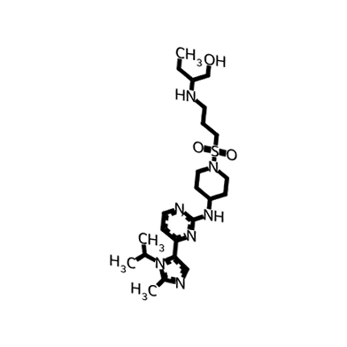 CCC(CO)NCCCS(=O)(=O)N1CCC(Nc2nccc(-c3cnc(C)n3C(C)C)n2)CC1